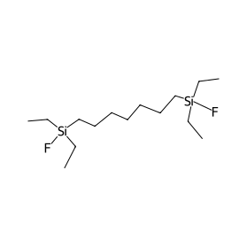 CC[Si](F)(CC)CCCCCCC[Si](F)(CC)CC